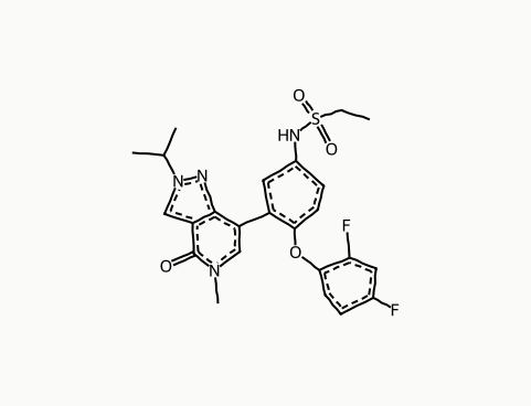 CCS(=O)(=O)Nc1ccc(Oc2ccc(F)cc2F)c(-c2cn(C)c(=O)c3cn(C(C)C)nc23)c1